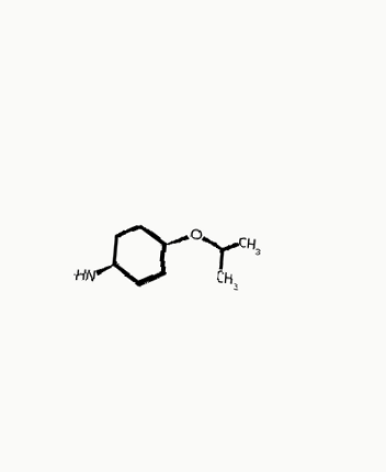 CC(C)O[C@H]1CC[C@@H]([NH])CC1